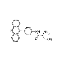 N[C@@H](CO)C(=O)Nc1ccc(-c2c3ccccc3nc3ccccc23)cc1